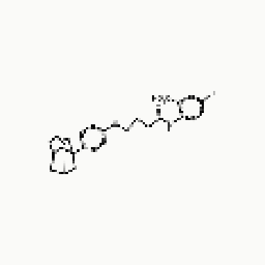 O=C(CCCOc1ccc(C23CC4CC(CC(C4)C2)C3)cc1)Nc1ccc(Cl)cc1C(=O)O